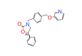 O=C1O[C@H](c2ccccc2)CN1Cc1ccc(COc2cccnc2)cc1